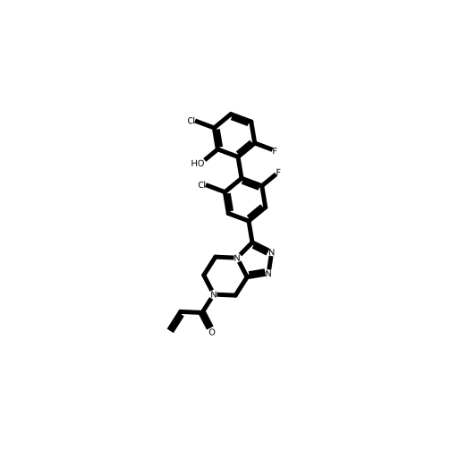 C=CC(=O)N1CCn2c(nnc2-c2cc(F)c(-c3c(F)ccc(Cl)c3O)c(Cl)c2)C1